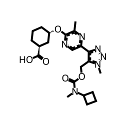 Cc1nc(-c2nnn(C)c2COC(=O)N(C)C2CCC2)cnc1O[C@H]1CCC[C@H](C(=O)O)C1